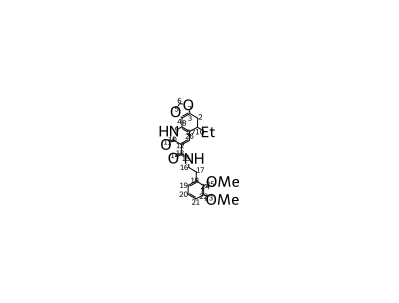 CCC1CC2=C(OCO2)c2[nH]c(=O)c(C(=O)NCCc3cccc(OC)c3OC)cc21